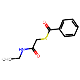 O=[C]CNC(=O)CSC(=O)c1ccccc1